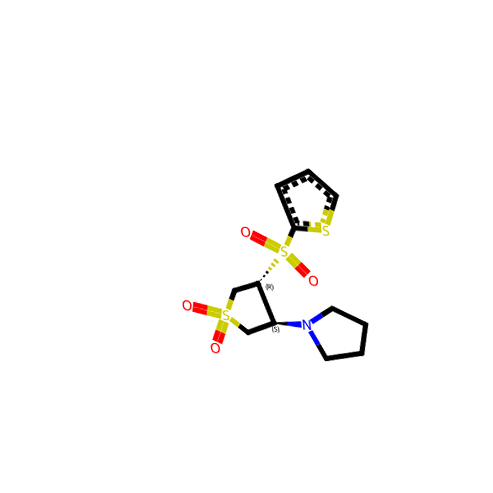 O=S1(=O)C[C@H](N2CCCC2)[C@@H](S(=O)(=O)c2cccs2)C1